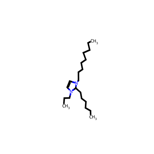 CCCCCCCCCN1C=CN(CCC)C1CCCCCC